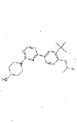 CC(C)Oc1ccc(-c2ccnc(N3CCC(O)CC3)n2)cc1C(C)(C)C